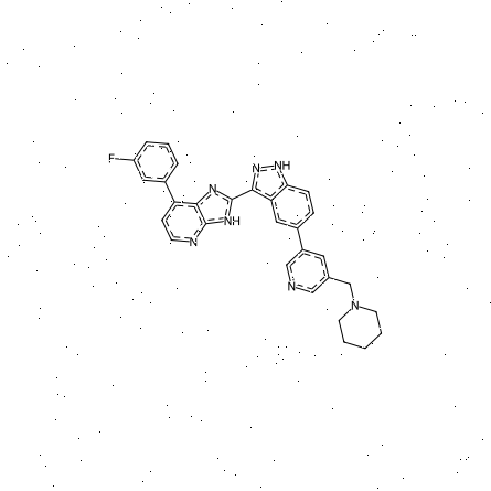 Fc1cccc(-c2ccnc3[nH]c(-c4n[nH]c5ccc(-c6cncc(CN7CCCCC7)c6)cc45)nc23)c1